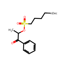 CCCCCCCCCCCCCCS(=O)(=O)OC(C)C(=O)c1ccccc1